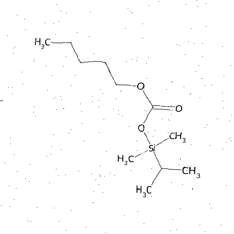 CCCCCOC(=O)O[Si](C)(C)C(C)C